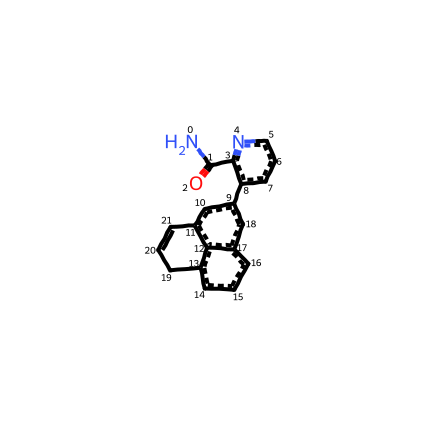 NC(=O)c1ncccc1-c1cc2c3c(cccc3c1)CC=C2